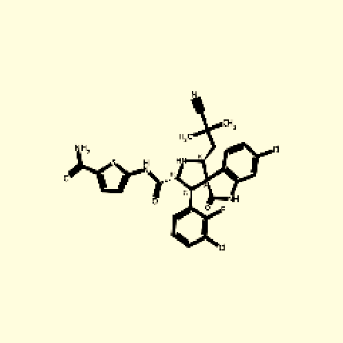 CC(C)(C#N)C[C@@H]1N[C@@H](C(=O)Nc2ccc(C(N)=O)s2)[C@H](c2cccc(Cl)c2F)[C@]12C(=O)Nc1cc(Cl)ccc12